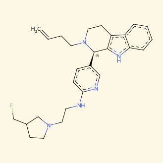 C=CCCN1CCc2c([nH]c3ccccc23)[C@H]1c1ccc(NCCN2CCC(CF)C2)nc1